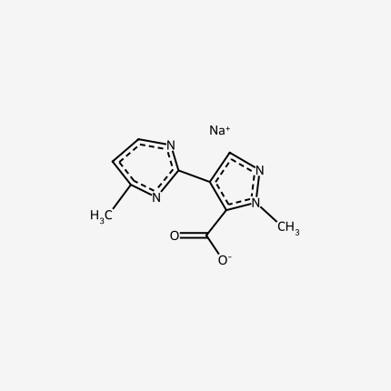 Cc1ccnc(-c2cnn(C)c2C(=O)[O-])n1.[Na+]